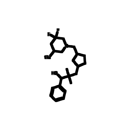 CC(C)(C)C1CN(CC2CCC(CC(C)(C)C(O)c3ccccc3)C2)CC(F)(F)C1